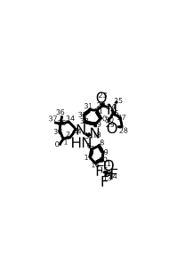 CC1CC(n2c(Nc3ccc(OC(F)(F)F)cc3)nc3cc(C(=O)N(C)C4CCOC4)ccc32)CC(C)(C)C1